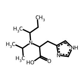 CCC(C)N(C(C)C)C(Cc1c[nH]cn1)C(=O)O